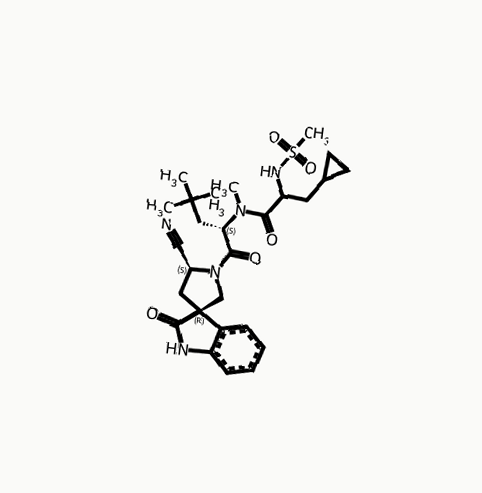 CN(C(=O)C(CC1CC1)NS(C)(=O)=O)[C@@H](CC(C)(C)C)C(=O)N1C[C@]2(C[C@H]1C#N)C(=O)Nc1ccccc12